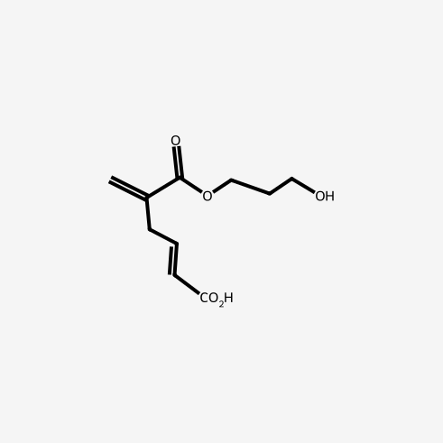 C=C(CC=CC(=O)O)C(=O)OCCCO